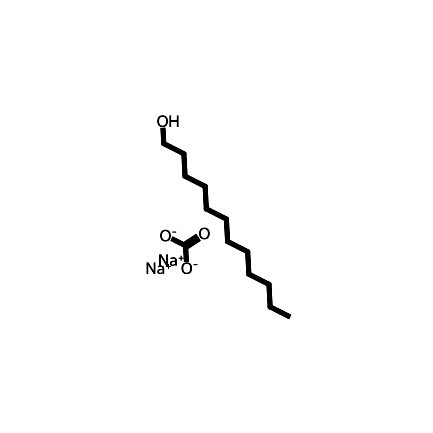 CCCCCCCCCCCCO.O=C([O-])[O-].[Na+].[Na+]